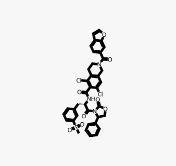 CS(=O)(=O)c1cccc(C[C@H](NC(=O)c2c(Cl)cc3c(c2Cl)CCN(C(=O)c2ccc4ccoc4c2)C3)C(=O)N2C(=O)OCC2c2ccccc2)c1